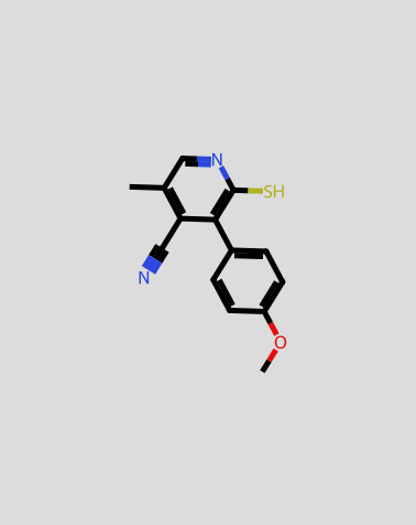 COc1ccc(-c2c(S)ncc(C)c2C#N)cc1